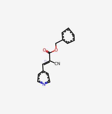 N#C/C(=C\c1ccncc1)C(=O)OCc1ccccc1